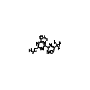 Cc1nc(C)nc(-c2nccc(C(F)(F)I)n2)n1